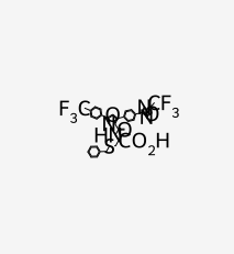 O=C(NC(CSCc1ccccc1)C(=O)O)c1nc(-c2ccc(C(F)(F)F)cc2)oc1-c1ccc(-c2noc(C(F)(F)F)n2)cc1